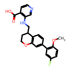 COc1ccc(F)cc1-c1ccc2c(c1)OCCC2CNc1cnccc1C(=O)O